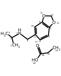 CC(C)NCc1ccc2c(c1)OCO2.CCC(=O)O